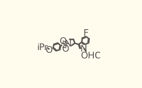 CC(C)Oc1ccc(S(=O)(=O)N2CCC(c3cn(CC=O)c4ccc(F)cc34)C2)cc1